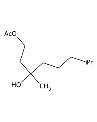 CC(=O)OCCC(C)(O)CCCC(C)C